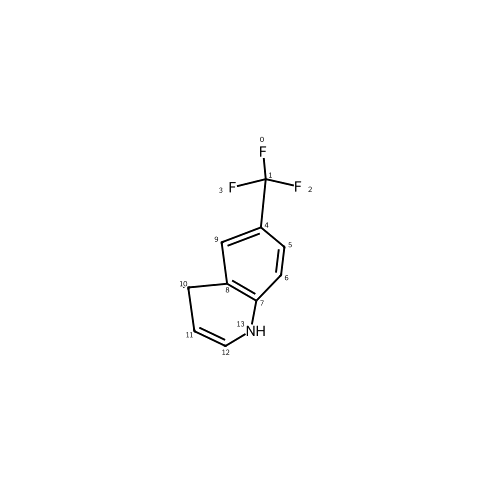 FC(F)(F)c1ccc2c(c1)[CH]C=CN2